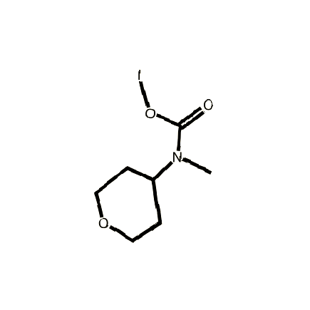 CN(C(=O)OI)C1CCOCC1